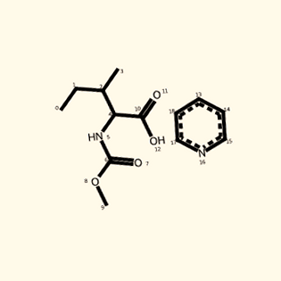 CCC(C)C(NC(=O)OC)C(=O)O.c1ccncc1